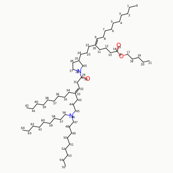 CCCCCCCCC/C=C(\CCCC(=O)OCCCCC)CCCC1CCN(C(=O)C/C=C(\CCCCCCCCC)CCCN(CCCCCCCCC)CCCCCCCCC)C1